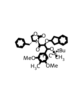 COc1cc(C(O[Si](C)(C)C(C)(C)C)C(OC2Cc3ccccc3C2)C(=O)N2C(=O)OC[C@H]2Cc2ccccc2)cc(OC)c1C